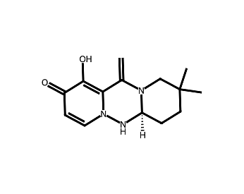 C=C1c2c(O)c(=O)ccn2N[C@@H]2CCC(C)(C)CN12